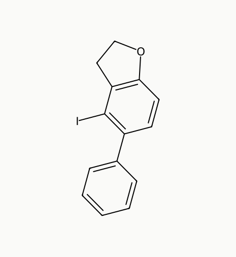 Ic1c(-c2ccccc2)ccc2c1CCO2